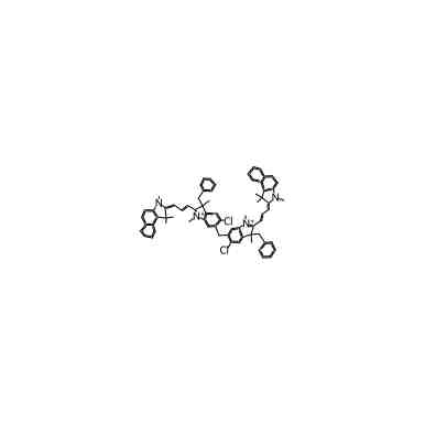 CN1/C(=C/C=C/C2=[N+](C)c3cc(Cc4cc5c(cc4Cl)C(C)(Cc4ccccc4)C(/C=C/C=C4/N(C)c6ccc7ccccc7c6C4(C)C)=[N+]5C)c(Cl)cc3C2(C)Cc2ccccc2)C(C)(C)c2c1ccc1ccccc21